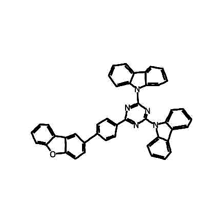 c1ccc2c(c1)oc1ccc(-c3ccc(-c4nc(-n5c6ccccc6c6ccccc65)nc(-n5c6ccccc6c6ccccc65)n4)cc3)cc12